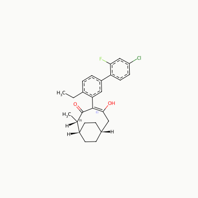 CCc1ccc(-c2ccc(Cl)cc2F)cc1/C1=C(\O)C[C@H]2CC[C@H](CC2)[C@H](C)C1=O